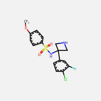 O=S(=O)(NC1(c2ccc(Cl)c(F)c2)CNC1)c1ccc(OC(F)(F)F)cc1